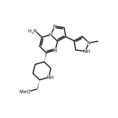 COC[C@@H]1CC[C@H](c2cc(N)n3ncc(C4=CN(C)NC4)c3n2)CN1